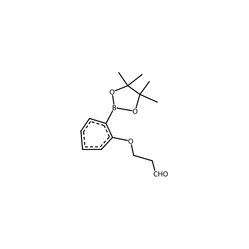 CC1(C)OB(c2ccccc2OCCC=O)OC1(C)C